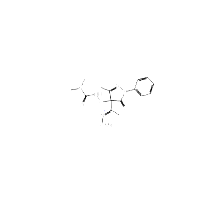 CO/N=C(\C)C1(ONC(=O)N(C)C)C(=O)N(c2ccccc2)N=C1C